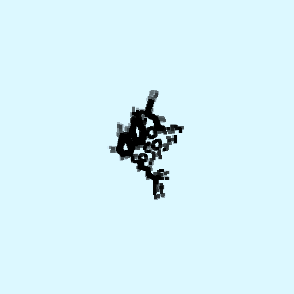 C=CCCC(CC)CC.CCCC(O)CC(C)O.O=C(O)c1ccccc1.O=C(O)c1ccccc1